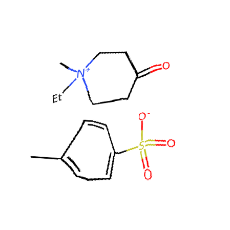 CC[N+]1(C)CCC(=O)CC1.Cc1ccc(S(=O)(=O)[O-])cc1